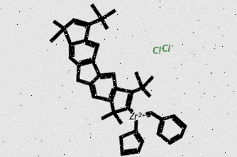 CC(C)(C)C1=CC(C)(C)c2cc3c(cc21)-c1cc2c(cc1C3)C(C)(C)[C]([Zr+2](=[CH]c1ccccc1)[C]1=CC=CC1)=C2C(C)(C)C.[Cl-].[Cl-]